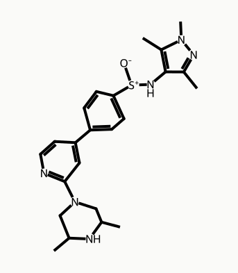 Cc1nn(C)c(C)c1N[S+]([O-])c1ccc(-c2ccnc(N3CC(C)NC(C)C3)c2)cc1